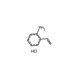 C=Cc1ccccc1P.Cl